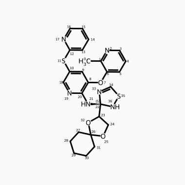 Cc1ncccc1Oc1cc(Sc2ccccn2)cnc1N[C@@]1(C2COC3(CCCCC3)O2)N=CSN1